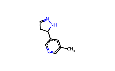 Cc1cncc(C2CC=NN2)c1